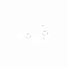 O=C(c1cccc(N2CCCC2=O)c1)N1CCC(Oc2cccc(OC(F)(F)F)c2)CC1